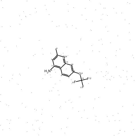 Cc1cc(N)c2ccc(OC(F)(F)F)cc2n1